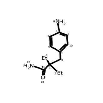 CCC(CC)(Cc1ccc(N)cc1)C(N)=O